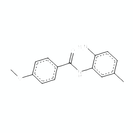 COc1ccc(C(=O)Nc2cc(C)ccc2N)cc1